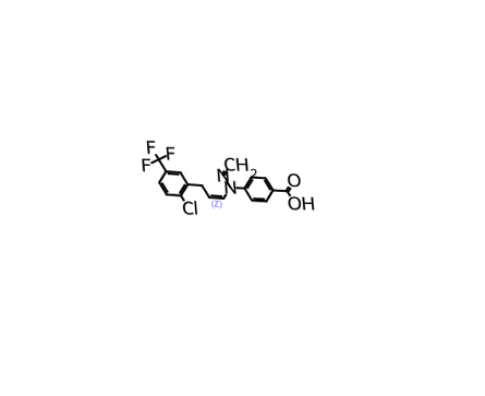 C=NN(/C=C\Cc1cc(C(F)(F)F)ccc1Cl)c1ccc(C(=O)O)cc1